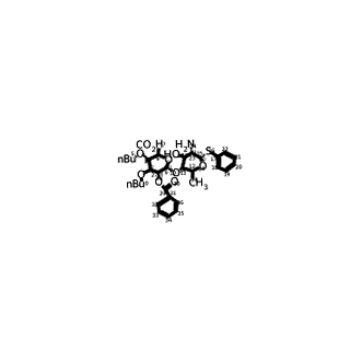 CCCCOC1[C@@H](OCCCC)C(C(=O)O)O[C@@H](O[C@@H]2C(C)O[C@@H](Sc3ccccc3)[C@@H](N)C2O)[C@H]1OC(=O)c1ccccc1